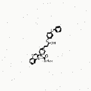 CCCCCCC(=O)OC1(c2cnc3ccccc3n2)CCN(CCC(O)Oc2ccc(Oc3ccccc3)cc2)CC1